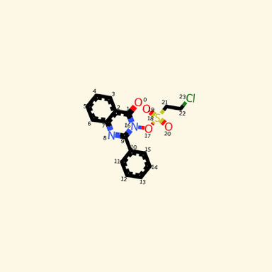 O=c1c2ccccc2nc(-c2ccccc2)n1OS(=O)(=O)CCCl